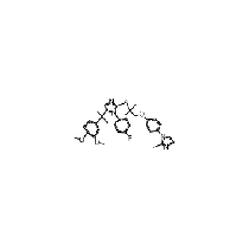 COc1ccc(C(C)(C)c2cnc(SC(C)(C)COc3ccc(-n4ccnc4C)cc3)n2-c2ccc(F)cc2)cc1OC